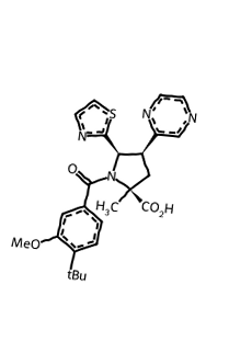 COc1cc(C(=O)N2[C@@H](c3nccs3)[C@@H](c3cnccn3)C[C@@]2(C)C(=O)O)ccc1C(C)(C)C